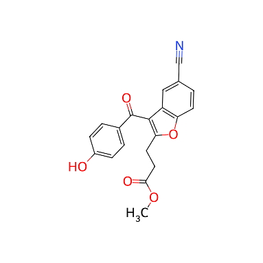 COC(=O)CCc1oc2ccc(C#N)cc2c1C(=O)c1ccc(O)cc1